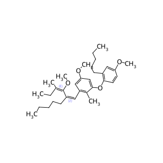 CCCCCC(=C/c1cc(OC)cc(Oc2ccc(OC)cc2CCCCC)c1C)/C(OC)=C(/C)CC